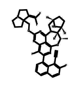 C#Cc1c(F)ccc2cccc(-c3nc4c5c(nc(OCC67CCCN6CCC7=C(F)F)nc5c3F)N3C[C@H]5CC[C@H](N5)[C@H]3[C@H](C)O4)c12